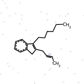 C/C=C/CC1=C(CCCCCC)c2ccccc2C1